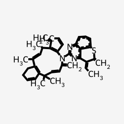 C=C/C1=C(\C=C/C)N(c2nc3c4c(cccc4n2)SC(=C)/C3=C\C)C(=C)/C=C/C(C)(C)C2=C(CCC=C2)/C(C)=C/C1C